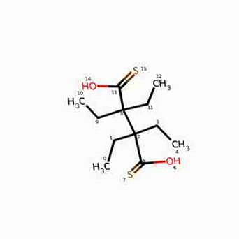 CCC(CC)(C(O)=S)C(CC)(CC)C(O)=S